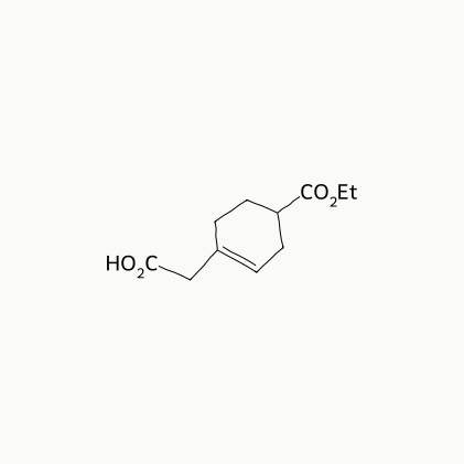 CCOC(=O)C1CC=C(CC(=O)O)CC1